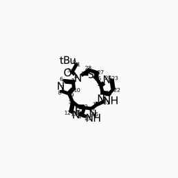 CC(C)(C)CC(=O)n1c2cncc(c2)c2cnc3[nH]nc(c4nc5c(ccnc5c5ccc1s5)[nH]4)c3c2F